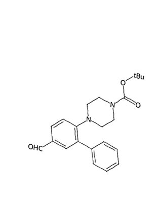 CC(C)(C)OC(=O)N1CCN(c2ccc(C=O)cc2-c2ccccc2)CC1